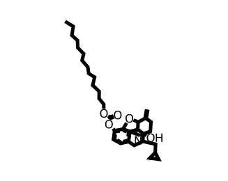 C=C1CCC2(O)C3Cc4ccc(OC(=O)OCCCCCCCCCCCCCC)c5c4C2(CCN3CC2CC2)C1O5